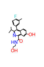 Cc1cc(-c2c(C(C)C)nc(C(=O)NCCO)c3cc(O)ccc23)ccc1F